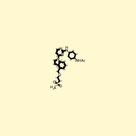 CC(=O)N[C@H]1CC[C@H](Nc2nccc(-n3ccc4c(COCCS(C)(=O)=O)cccc43)n2)CC1